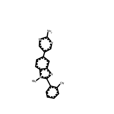 CC(C)(C)n1c(-c2ccccc2C#N)nc2cc(-c3cnc(N)nc3)ccc21